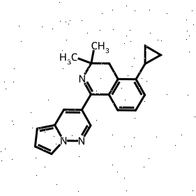 CC1(C)Cc2c(cccc2C2CC2)C(c2cnn3cccc3c2)=N1